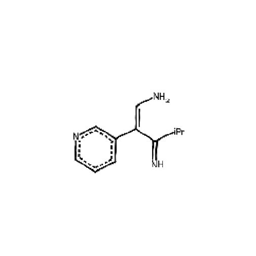 CC(C)C(=N)/C(=C\N)c1cccnc1